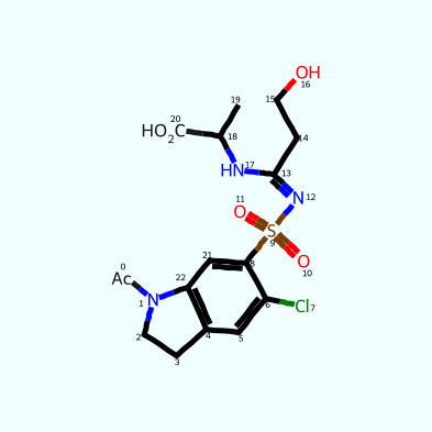 CC(=O)N1CCc2cc(Cl)c(S(=O)(=O)/N=C(/CCO)NC(C)C(=O)O)cc21